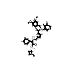 COc1ccc([C@H](Cc2c(Cl)cncc2Cl)OC(=O)c2ccc(CNC(C(=O)OC[C@H]3CCN3C)c3ccccc3)s2)cc1OC